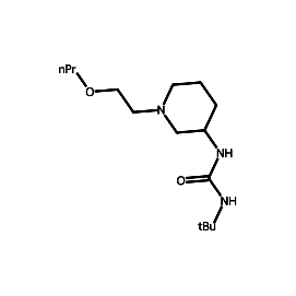 CCCOCCN1CCCC(NC(=O)NC(C)(C)C)C1